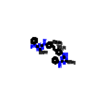 COc1nc(Nc2ccccc2)nc(Nc2ccc(C=Cc3ccc(Nc4nc(Nc5ccccc5)nc(OC)n4)cc3S(=O)(=O)O)c(S(=O)(=O)O)c2)n1.[NaH]